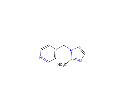 O=C(O)c1nccn1Cc1ccncc1